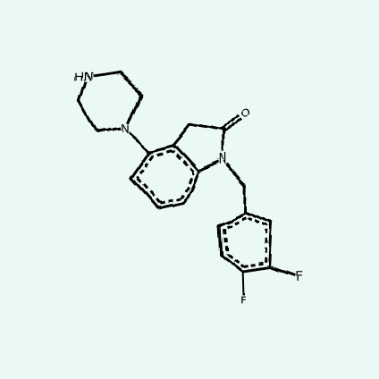 O=C1Cc2c(N3CCNCC3)cccc2N1Cc1ccc(F)c(F)c1